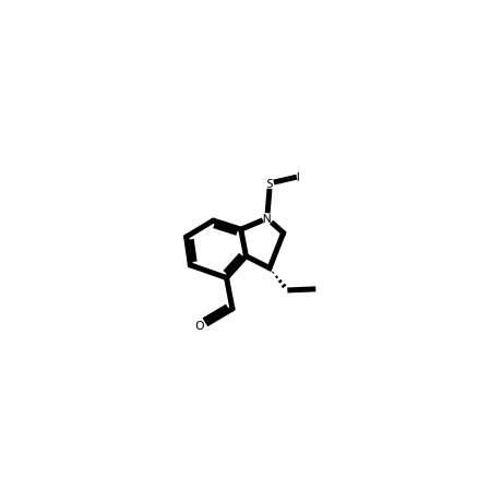 CC[C@H]1CN(SI)c2cccc(C=O)c21